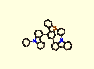 c1ccc(-n2c3ccccc3c3c(-c4cc(-c5cccc6c7ccccc7n(-c7ccccc7)c56)cc5sc6ccccc6c45)cccc32)cc1